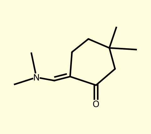 CN(C)C=C1CCC(C)(C)CC1=O